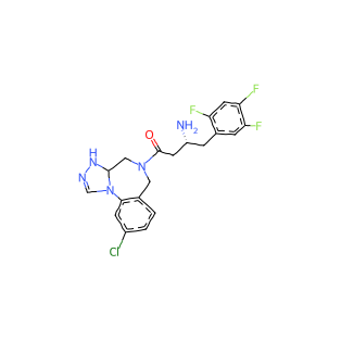 N[C@@H](CC(=O)N1Cc2ccc(Cl)cc2N2C=NNC2C1)Cc1cc(F)c(F)cc1F